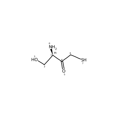 N[C@H](CO)C(=O)CS